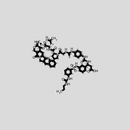 CCCNC(=O)Nc1cccc(S(=O)(=O)Nc2cccc(C(CC(=O)O)NC(=O)Nc3ccc(NC(=S)NCC(=O)N4CCC[C@H]4C(=O)N[C@@H](CC(C)C)C(=O)O[C@]4(CC)C(=O)OCc5c4cc4n(c5=O)Cc5cc6ccccc6nc5-4)cc3)c2)c1